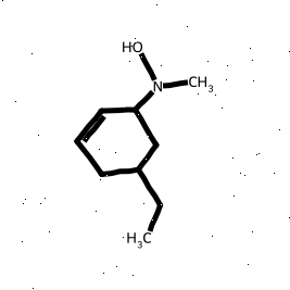 CCC1CC=CC(N(C)O)C1